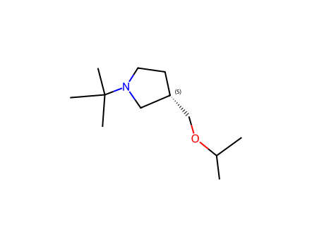 CC(C)OC[C@H]1CCN(C(C)(C)C)C1